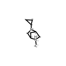 [CH2-][NH+]1CC2CC1CN2C1CC1